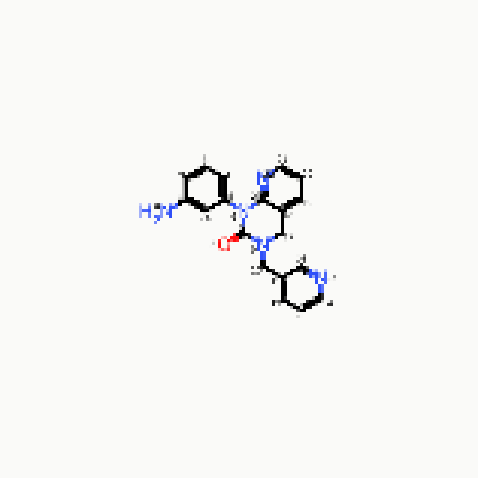 Nc1cccc(N2C(=O)N(Cc3cccnc3)Cc3cccnc32)c1